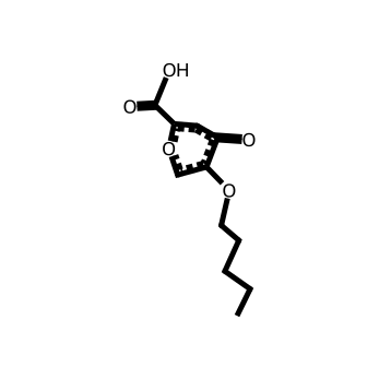 CCCCCOc1coc(C(=O)O)cc1=O